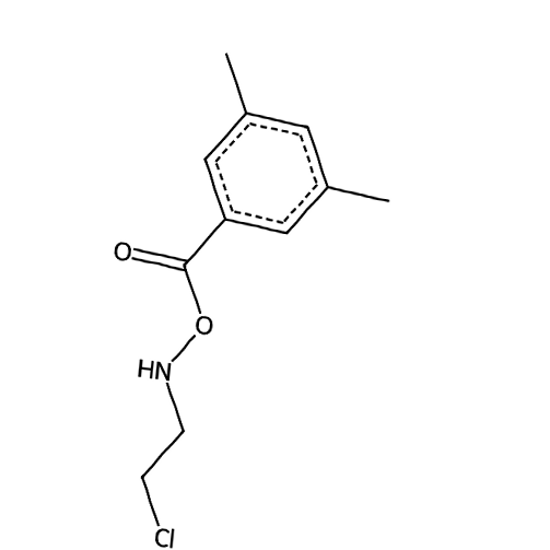 Cc1cc(C)cc(C(=O)ONCCCl)c1